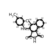 Cc1ccc(Nc2c3c(c4ccccc4c2Cl)C(=O)NC3=O)cc1